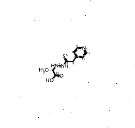 C[C@H](NNC(=S)Cc1ccncc1)C(=O)O